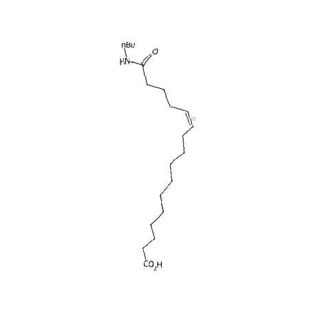 CCCCNC(=O)CCC/C=C\CCCCCCCCCC(=O)O